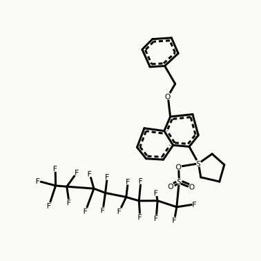 O=S(=O)(OS1(c2ccc(OCc3ccccc3)c3ccccc23)CCCC1)C(F)(F)C(F)(F)C(F)(F)C(F)(F)C(F)(F)C(F)(F)C(F)(F)C(F)(F)F